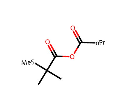 CCCC(=O)OC(=O)C(C)(C)SC